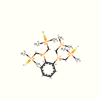 CP(C)C[P@@](CP(C)(C)=S)c1ccccc1P(CP(C)(C)=S)CP(C)(C)=S